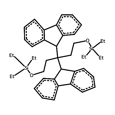 CC[Si](CC)(CC)OCCC(CCO[Si](CC)(CC)CC)(C1c2ccccc2-c2ccccc21)C1c2ccccc2-c2ccccc21